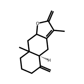 C=C1OC2CC3(C)CCCC(=C)[C@@H]3CC2=C1C